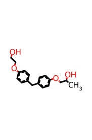 CC(O)COc1ccc(Cc2ccc(OCCO)cc2)cc1